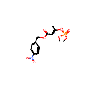 COP(=O)(OC)O/C(C)=C/C(=O)OCc1ccc([N+](=O)[O-])cc1